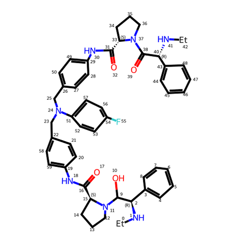 CCN[C@H](c1ccccc1)C(O)N1CCC[C@H]1C(=O)Nc1ccc(CN(Cc2ccc(NC(=O)[C@@H]3CCCN3C(=O)[C@H](NCC)c3ccccc3)cc2)c2ccc(F)cc2)cc1